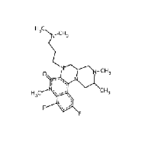 CC1CN2c3c(c(=O)n(C)c4c(F)cc(F)cc34)N(CCCN(C)C)CC2CN1C